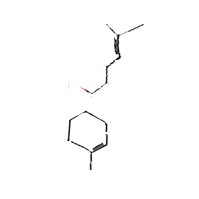 CC(C)=CCCC(O)[C@@H]1CC=C(C)CC1